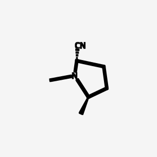 C[C@@H]1CC[C@@H](C#N)N1C